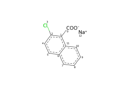 O=C([O-])c1c(Cl)ccc2ccccc12.[Na+]